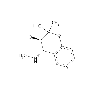 CN[C@H]1c2cnccc2OC(C)(C)[C@@H]1O